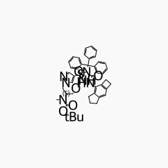 CN(C(=O)OC(C)(C)C)[C@@H]1COc2c(S(=N)(=O)N(C(=O)Nc3c4c(cc5c3CC5)CCC4)C(c3ccccc3)(c3ccccc3)c3ccccc3)cnn2C1